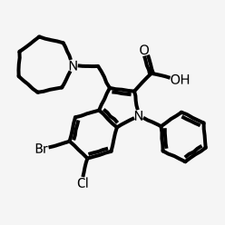 O=C(O)c1c(CN2CCCCCC2)c2cc(Br)c(Cl)cc2n1-c1ccccc1